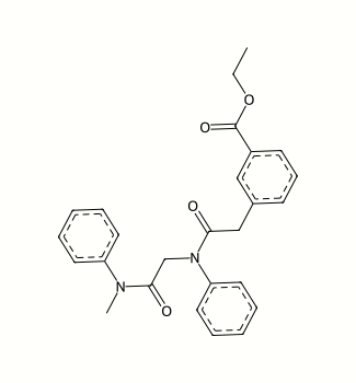 CCOC(=O)c1cccc(CC(=O)N(CC(=O)N(C)c2ccccc2)c2ccccc2)c1